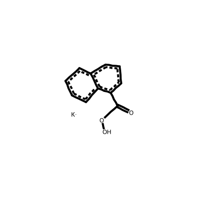 O=C(OO)c1cccc2ccccc12.[K]